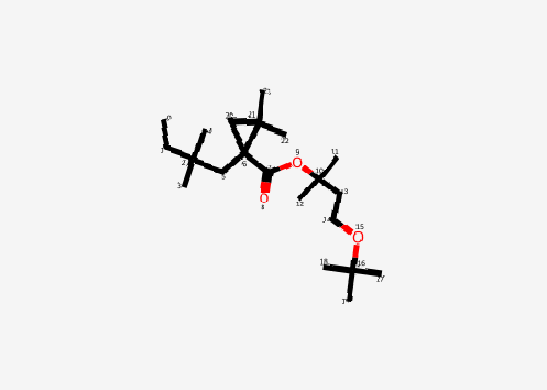 CCC(C)(C)CC1(C(=O)OC(C)(C)CCOC(C)(C)C)CC1(C)C